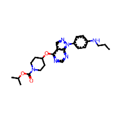 CCCNc1ccc(-n2ncc3c(OC4CCN(C(=O)OC(C)C)CC4)ncnc32)cc1